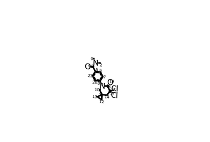 CN(C)C(=O)c1ccc(N2CC3(CC3)CC(Cl)(Cl)C2=O)cc1